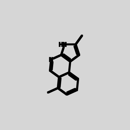 Cc1cc2c(ncc3c(C)cccc32)[nH]1